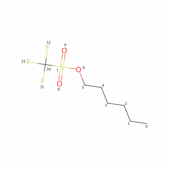 CCCCCCOS(=O)(=O)C(F)(F)F